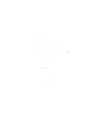 CNc1nc(-c2cccc(-c3ccccc3)c2)c2c(N)c(C(C)=O)sc2n1